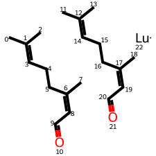 CC(C)=CCC/C(C)=C\C=O.CC(C)=CCC/C(C)=C\C=O.[Lu]